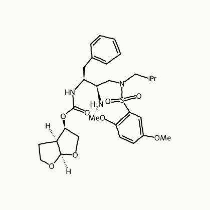 COc1ccc(OC)c(S(=O)(=O)N(CC(C)C)C[C@@H](N)[C@H](Cc2ccccc2)NC(=O)O[C@H]2CO[C@H]3OCC[C@H]32)c1